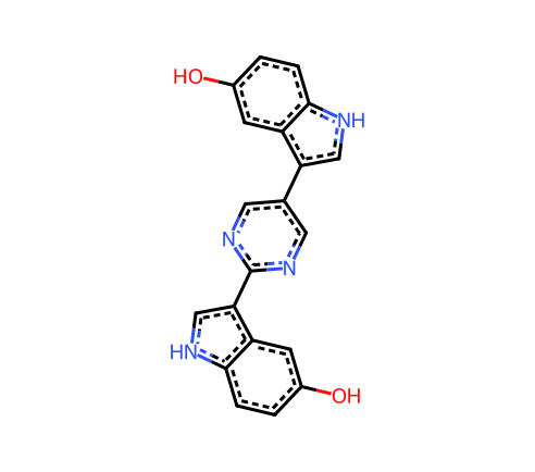 Oc1ccc2[nH]cc(-c3cnc(-c4c[nH]c5ccc(O)cc45)nc3)c2c1